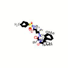 CN[C@H](C(=O)N[C@H](C(=O)N(C)[C@H](/C=C(\C)C(=O)NS(=O)(=O)c1ccc(C)cc1)C(C)C)C(C)(C)C)C(C)(C)c1cccc(OC)c1